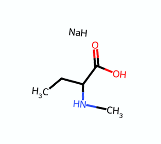 CCC(NC)C(=O)O.[NaH]